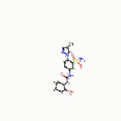 N#Cc1cnn(-c2ccc(NC(=O)Cc3ccccc3O)cc2S(N)(=O)=O)c1